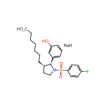 O=C(O)CCCCCC[C@@H]1CCN(S(=O)(=O)c2ccc(F)cc2)[C@@H]1c1cccc(O)c1.[NaH]